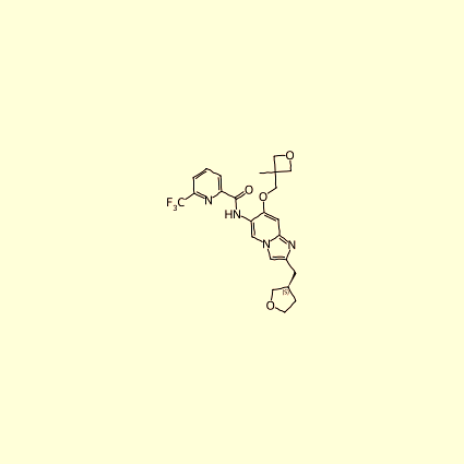 CC1(COc2cc3nc(C[C@H]4CCOC4)cn3cc2NC(=O)c2cccc(C(F)(F)F)n2)COC1